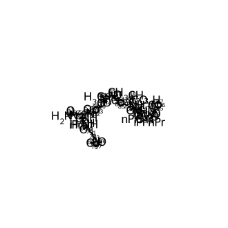 CCCO[C@H](C[C@H](C(C)C)N(CCC)C(=O)[C@@H](NC(=O)[C@H]1CCCCN1C)[C@@H](C)CC)c1nc(C(=O)N[C@@H](Cc2ccc(OC(=O)N(C)CCN(C)C(=O)OCc3ccc(NC(=O)[C@@H](CCCNC(N)=O)NC(=O)[C@H](NC(=O)CCCCCN4C(=O)C=CC4=O)C(C)C)cc3)cc2)C[C@H](C)C(=O)O)cs1